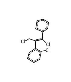 ClCC(=C(Cl)c1ccccc1)c1ccccc1Cl